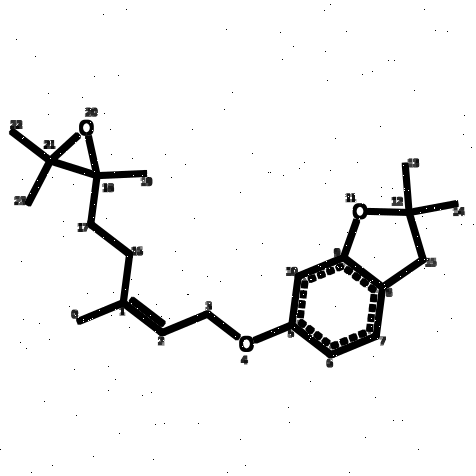 CC(=CCOc1ccc2c(c1)OC(C)(C)C2)CCC1(C)OC1(C)C